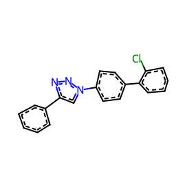 Clc1ccccc1-c1ccc(-n2cc(-c3ccccc3)nn2)cc1